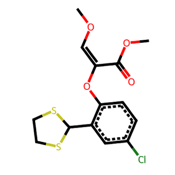 CO/C=C(/Oc1ccc(Cl)cc1C1SCCS1)C(=O)OC